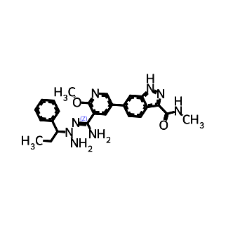 CCC(c1ccccc1)N(N)/N=C(\N)c1cc(-c2ccc3c(C(=O)NC)n[nH]c3c2)cnc1OC